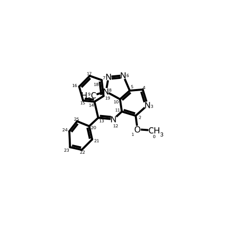 COc1ncc2nnn(C)c2c1N=C(c1ccccc1)c1ccccc1